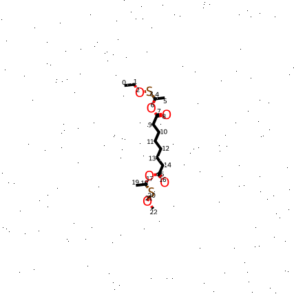 CCOSC(C)OC(=O)CCCCCCC(=O)OC(C)SOC